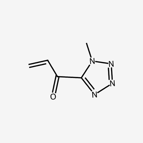 C=CC(=O)c1nnnn1C